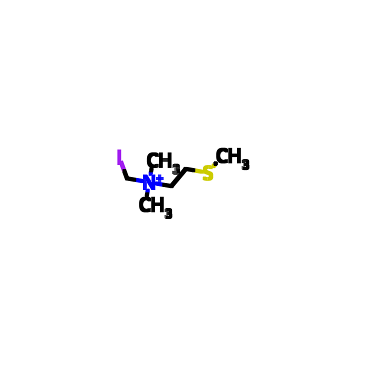 CSCC[N+](C)(C)CI